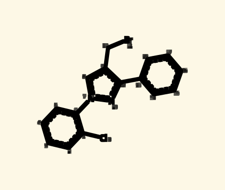 Clc1ccccc1-n1cc(CBr)c(-c2ccccc2)n1